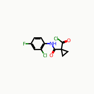 O=C(Cl)C1(C(=O)Nc2ccc(F)cc2Cl)CC1